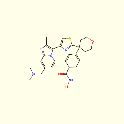 Cc1nc2cc(CN(C)C)ccn2c1-c1csc(C2(c3ccc(C(=O)NO)cc3)CCOCC2)n1